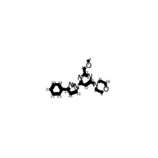 COCc1nc(N2CCOCC2)cc(-n2ccc(-c3ccccc3)n2)n1